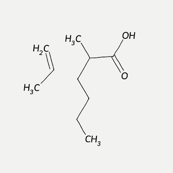 C=CC.CCCCC(C)C(=O)O